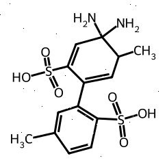 Cc1ccc(S(=O)(=O)O)c(C2=CC(C)C(N)(N)C=C2S(=O)(=O)O)c1